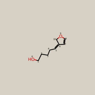 OCCCCC=C1C=COC1